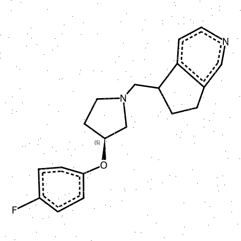 Fc1ccc(O[C@H]2CCN(CC3CCc4cnccc43)C2)cc1